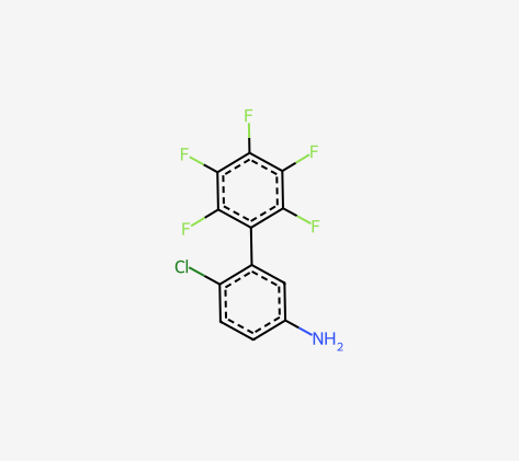 Nc1ccc(Cl)c(-c2c(F)c(F)c(F)c(F)c2F)c1